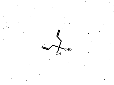 C=CCC(O)([C]=O)CC=C